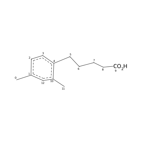 Cc1ccc(CCCCC(=O)O)c(C)c1